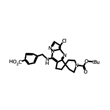 CC(C)(C)OC(=O)N1CCC2(CCc3c2nc2c(Cl)cnn2c3NCc2ccc(C(=O)O)cc2)CC1